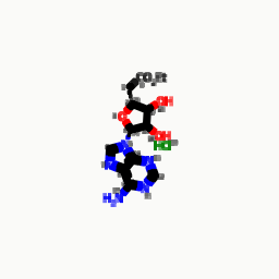 CCOC(=O)C[C@H]1O[C@@H](n2cnc3c(N)ncnc32)C(O)C1O.Cl